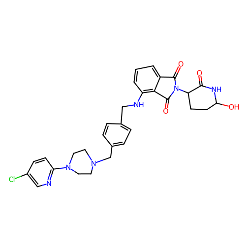 O=C1NC(O)CCC1N1C(=O)c2cccc(NCc3ccc(CN4CCN(c5ccc(Cl)cn5)CC4)cc3)c2C1=O